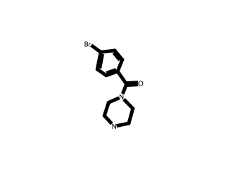 O=C(c1ccc(Br)cc1)N1CC[N]CC1